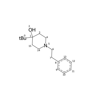 CC(C)(C)C1(O)CCN(CCc2ccccc2)CC1